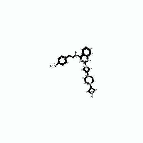 O=[N+]([O-])c1ccc(CCNc2nc(N3CC(N4CCN(C5CNC5)CC4)C3)nc3ccccc23)cc1